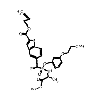 C=CCOC(=O)c1cc2cc(C(F)P(=O)(N[C@@H](C)C(=O)OCCC)Oc3cccc(OCCOC)c3)ccc2s1